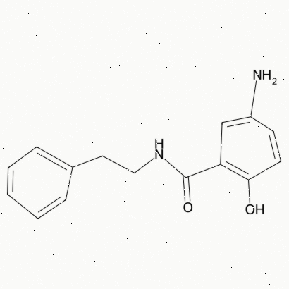 Nc1ccc(O)c(C(=O)NCCc2ccccc2)c1